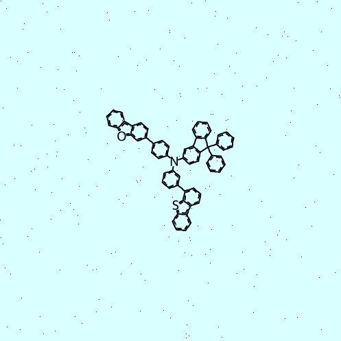 c1ccc(C2(c3ccccc3)c3ccccc3-c3cc(N(c4ccc(-c5ccc6c(c5)oc5ccccc56)cc4)c4cccc(-c5cccc6c5sc5ccccc56)c4)ccc32)cc1